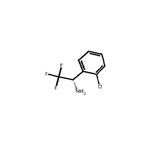 N[C@@H](c1ccccc1Cl)C(F)(F)F